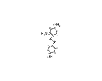 Nc1ccc(N=Nc2ccc(S)cc2)c(N)c1